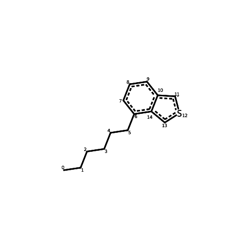 CCCCCCc1cccc2[c]scc12